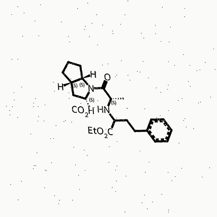 CCOC(=O)C(CCc1ccccc1)N[C@@H](C)C(=O)N1[C@H](C(=O)O)C[C@@H]2CCC[C@@H]21